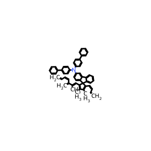 C=C/C=C\C(=C)/C(C)=C/C1=C(C)C(C)=C(/C=C\C=C)C12c1ccccc1-c1cc(N(c3ccc(-c4ccccc4)cc3)c3ccc(-c4ccccc4)cc3)ccc12